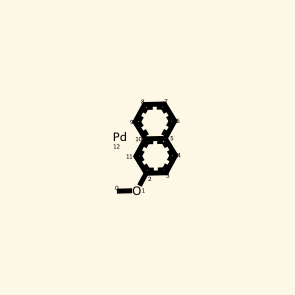 COc1ccc2ccccc2c1.[Pd]